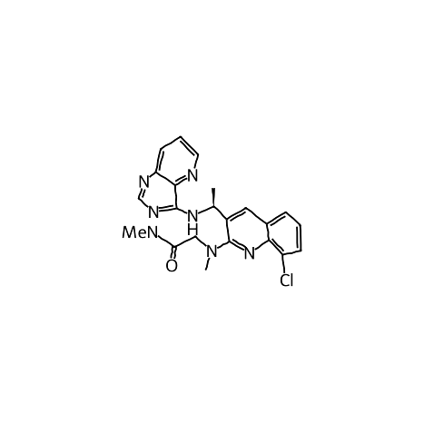 CNC(=O)CN(C)c1nc2c(Cl)cccc2cc1[C@H](C)Nc1ncnc2cccnc12